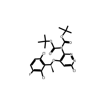 C[C@H](Oc1cc(Cl)nnc1N(C(=O)OC(C)(C)C)C(=O)OC(C)(C)C)c1c(Cl)ccc(F)c1Cl